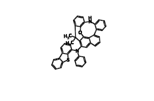 CC1(C)c2cccc3c2Oc2c1c(N(c1ccccc1)c1cccc4c1sc1ccccc14)cc1cccc(c21)-c1ccccc1N3